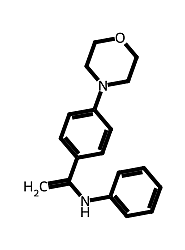 C=C(Nc1ccccc1)c1ccc(N2CCOCC2)cc1